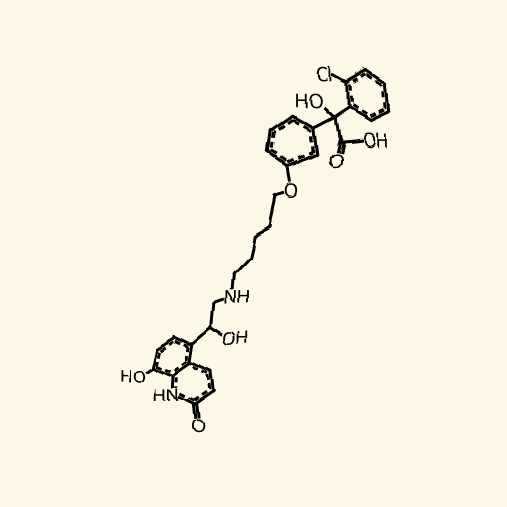 O=C(O)C(O)(c1cccc(OCCCCCNCC(O)c2ccc(O)c3[nH]c(=O)ccc23)c1)c1ccccc1Cl